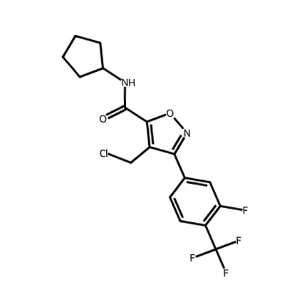 O=C(NC1CCCC1)c1onc(-c2ccc(C(F)(F)F)c(F)c2)c1CCl